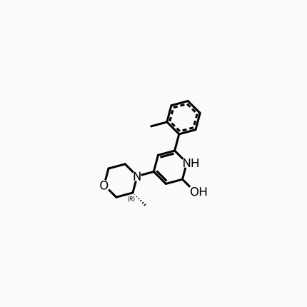 Cc1ccccc1C1=CC(N2CCOC[C@H]2C)=CC(O)N1